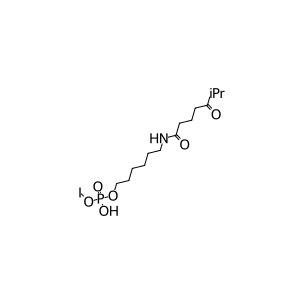 CC(C)C(=O)CCCC(=O)NCCCCCCOP(=O)(O)OI